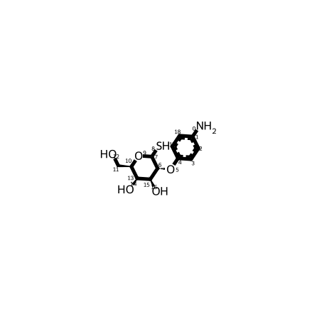 Nc1ccc(O[C@H]2C(S)O[C@H](CO)[C@H](O)[C@@H]2O)cc1